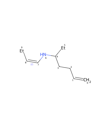 C=CCCC(CC)N/C=C\CC